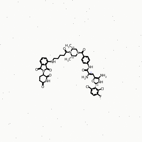 C[C@@H]1CN(C(=O)c2ccc(NC(=O)/C(N)=C/C3=C(N)N[C@H](c4c(Cl)ccc(F)c4Cl)O3)cc2)C[C@H](C)N1C(=O)CCCCNc1cccc2c1C(=O)N(C1CCC(=O)NC1=O)C2=O